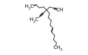 C#CCC(C#C[CH2])(CCC=C)CCCCC=CCCCC